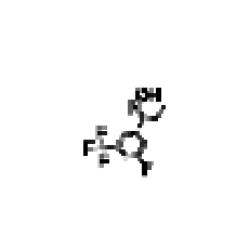 CCC(=NO)c1cc(F)cc(C(F)(F)F)c1